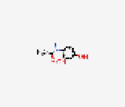 CN(C(=O)C(F)(F)F)c1ccc(O)cc1O